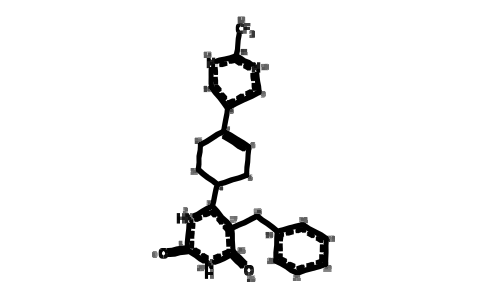 O=c1[nH]c(C2CC=C(c3cnc(C(F)(F)F)nc3)CC2)c(Cc2ccccc2)c(=O)[nH]1